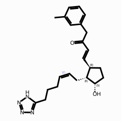 Cc1cccc(CC(=O)C=C[C@H]2CC[C@H](O)[C@@H]2C/C=C\CCCc2nnn[nH]2)c1